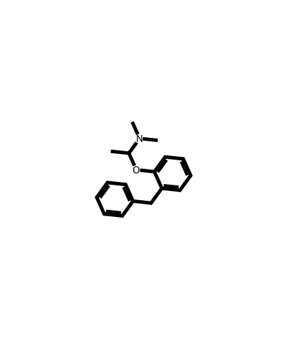 CC(Oc1ccccc1Cc1ccccc1)N(C)C